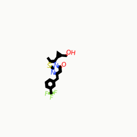 Cc1sc2nc(Cc3cccc(C(F)(F)F)c3)cc(=O)n2c1C1CC1CO